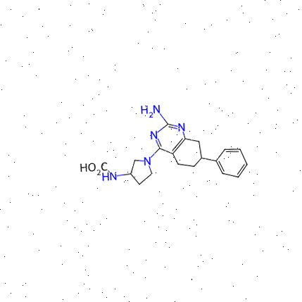 Nc1nc2c(c(N3CCC(NC(=O)O)C3)n1)CCC(c1ccccc1)C2